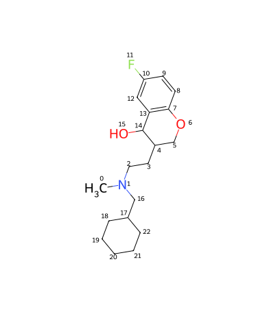 CN(CCC1COc2ccc(F)cc2C1O)CC1CCCCC1